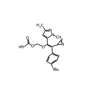 CCCC(=O)OCO/C(=C(\c1ccc(C(C)(C)C)cc1)C1C=N1)c1cc(C)nn1C